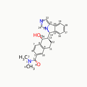 CN(C)C(=O)c1ccc2c(c1)CC[C@H]([C@@H]1c3ccccc3-c3cncn31)[C@@H]2O